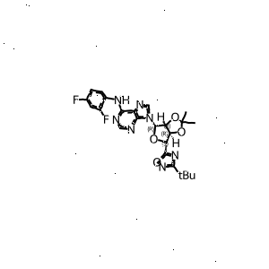 CC1(C)O[C@@H]2[C@@H](O1)[C@H](n1cnc3c(Nc4ccc(F)cc4F)ncnc31)O[C@@H]2c1nc(C(C)(C)C)no1